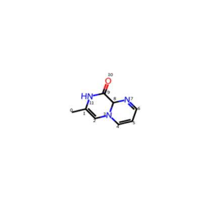 CC1=CN2C=CC=NC2C(=O)N1